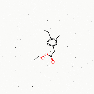 CCOOC(=O)Cc1ccc(CC)c(C)c1